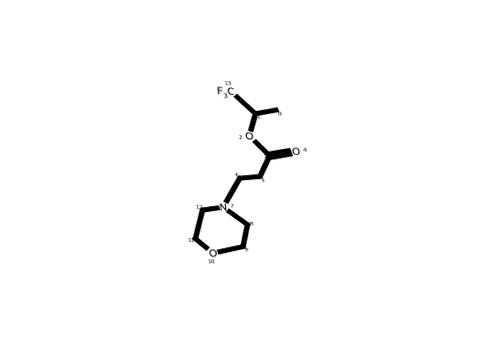 CC(OC(=O)CCN1CCOCC1)C(F)(F)F